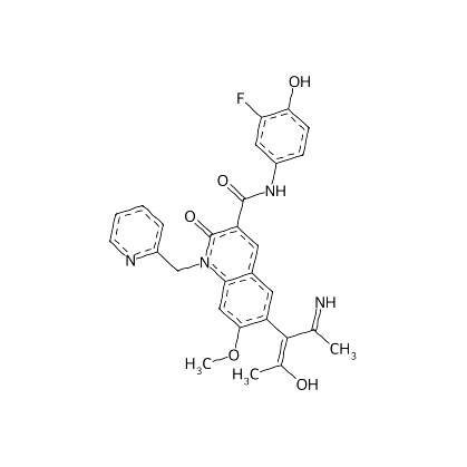 COc1cc2c(cc1/C(C(C)=N)=C(\C)O)cc(C(=O)Nc1ccc(O)c(F)c1)c(=O)n2Cc1ccccn1